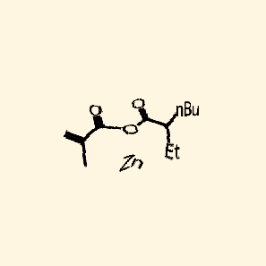 C=C(C)C(=O)OC(=O)C(CC)CCCC.[Zn]